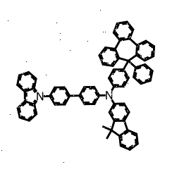 CC1(C)c2ccccc2-c2ccc(N(c3ccc(-c4ccc(-n5c6ccccc6c6ccccc65)cc4)cc3)c3ccc(C4(c5ccccc5)c5ccccc5-c5ccccc5-c5ccccc54)cc3)cc21